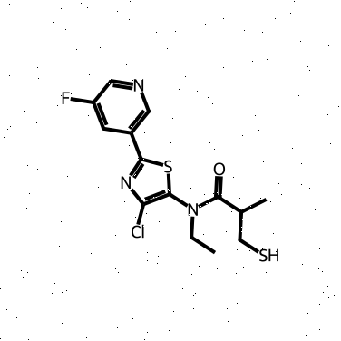 CCN(C(=O)C(C)CS)c1sc(-c2cncc(F)c2)nc1Cl